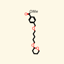 COC(=O)c1ccc(COCCCCCOC2CCCCO2)cc1